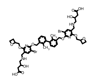 Cc1c(COc2nc(OCC3CCO3)c(CNCC(O)CC(=O)O)cc2Br)cccc1-c1cccc(COc2nc(OCC3CCO3)c(CNCC(O)CC(=O)O)cc2Br)c1C